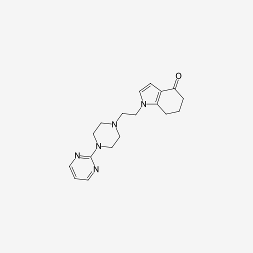 O=C1CCCc2c1ccn2CCN1CCN(c2ncccn2)CC1